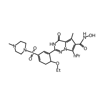 CCCc1c(C(=O)NO)c(C)c2c(=O)[nH]c(C3=CC(S(=O)(=O)N4CCN(C)CC4)=CCC3OCC)nn12